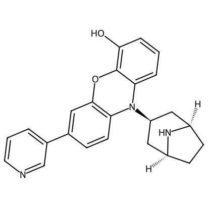 Oc1cccc2c1Oc1cc(-c3cccnc3)ccc1N2[C@H]1C[C@H]2CC[C@@H](C1)N2